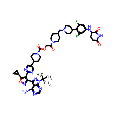 CC(C)(C)n1nc(-c2noc(C3CC3)c2-c2ncc(C3CCN(C(=O)OCC(=O)N4CCC(CN5CCC(c6c(F)cc(NC7CCC(=O)NC7=O)cc6F)CC5)CC4)CC3)cn2)c2c(N)ncnc21